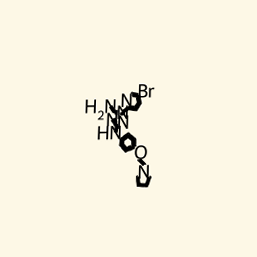 Nc1nc(Nc2ccc(OCCN3CCCC3)cc2)nn1-c1ccc(Br)cn1